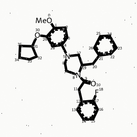 COc1ccc(N2CCN(C(=O)Cc3ccccc3F)C(Cc3ccccc3)C2)cc1OC1CCCC1